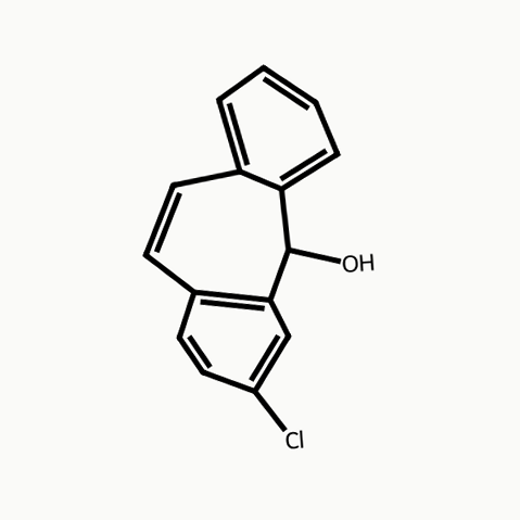 OC1c2ccccc2C=Cc2ccc(Cl)cc21